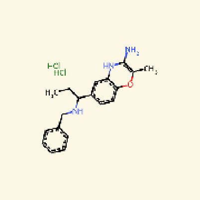 CCC(NCc1ccccc1)c1ccc2c(c1)NC(N)=C(C)O2.Cl.Cl